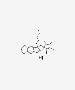 CCCCCC1(CC2(C)C(C)=C(C)C(C)=C2C)C(C)=Cc2cc3c(cc21)CCCC3.[Hf]